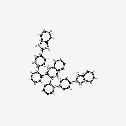 c1ccc(-c2nc3ccccc3nc2-c2ccccc2-c2ccc(-c3nc4ccccc4o3)cc2)c(-c2ccc(-c3nc4ccccc4o3)cc2)c1